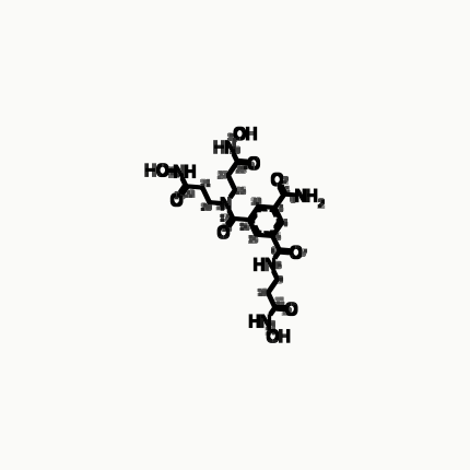 NC(=O)c1cc(C(=O)NCCC(=O)NO)cc(C(=O)N(CCC(=O)NO)CCC(=O)NO)c1